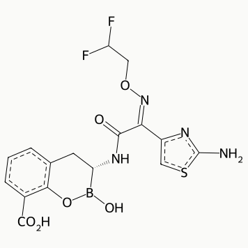 Nc1nc(/C(=N/OCC(F)F)C(=O)N[C@H]2Cc3cccc(C(=O)O)c3OB2O)cs1